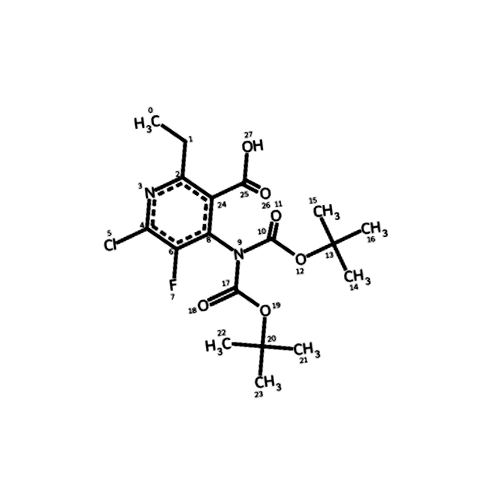 CCc1nc(Cl)c(F)c(N(C(=O)OC(C)(C)C)C(=O)OC(C)(C)C)c1C(=O)O